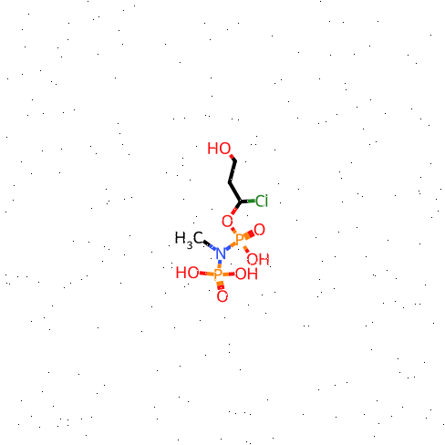 CN(P(=O)(O)O)P(=O)(O)OC(Cl)CCO